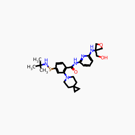 CC(C)(C)NSc1ccc(C(=O)Nc2cccc(NC3(CO)COC3)n2)c(N2CCC3(CC2)CC3)c1